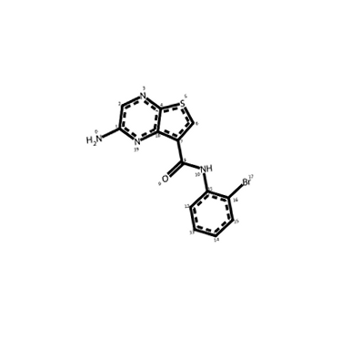 Nc1cnc2scc(C(=O)Nc3ccccc3Br)c2n1